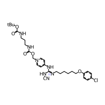 CC(C)(C)OC(=O)NCCCNC(=O)OC[n+]1ccc(N/C(=N\CCCCCCOc2ccc(Cl)cc2)NC#N)cc1